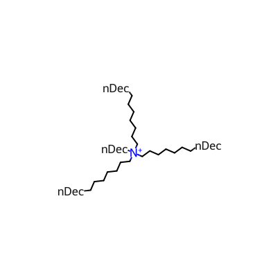 CCCCCCCCCCCCCCCCC[N+](CCCCCCCCCC)(CCCCCCCCCCCCCCCCC)CCCCCCCCCCCCCCCCC